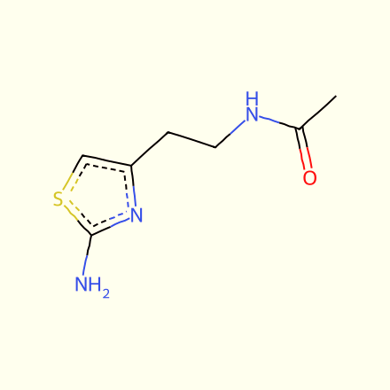 CC(=O)NCCc1csc(N)n1